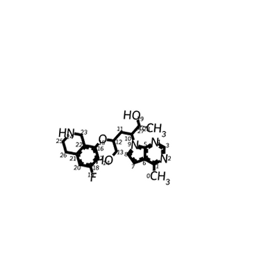 Cc1ncnc2c1ccn2C(CC(CO)Oc1cc(F)cc2c1CNCC2)[C@@H](C)O